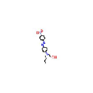 CCCCN(CCO)c1ccc(/N=N/c2ccc([N+](=O)[O-])cc2)cc1